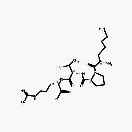 CC(C)[C@H](NC(=O)[C@@H]1CCCN1C(=O)[C@@H](N)CCCCN)C(=O)N[C@@H](CCCNC(=N)N)C(=O)O